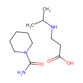 CC(C)NCCC(=O)O.NC(=O)N1CCCCC1